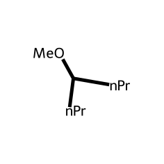 CCCC(CCC)OC